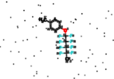 [CH2]c1ccc(OC(F)(F)C(F)(F)C(F)(F)C(F)(F)C(F)(F)F)cc1